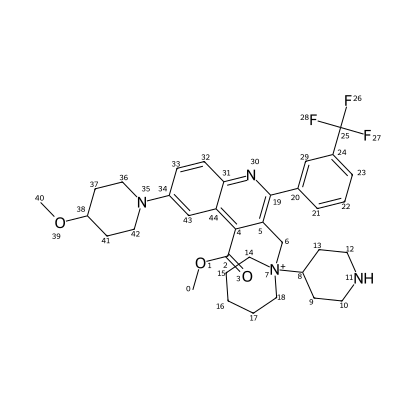 COC(=O)c1c(C[N+]2(C3CCNCC3)CCCCC2)c(-c2cccc(C(F)(F)F)c2)nc2ccc(N3CCC(OC)CC3)cc12